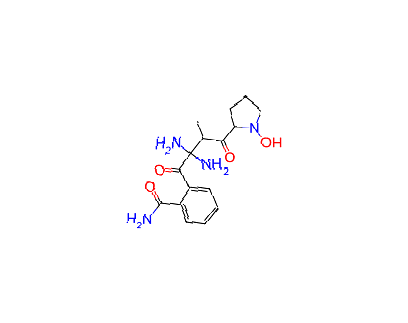 CC(C(=O)C1CCCN1O)C(N)(N)C(=O)c1ccccc1C(N)=O